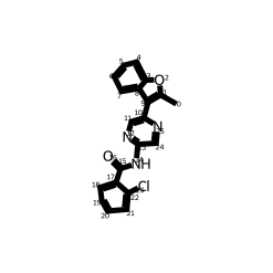 Cc1oc2ccccc2c1-c1cnc(NC(=O)c2ccccc2Cl)cn1